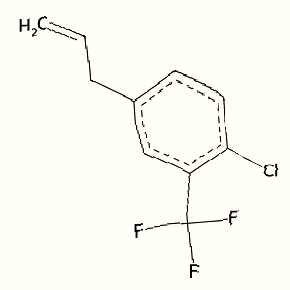 C=CCc1ccc(Cl)c(C(F)(F)F)c1